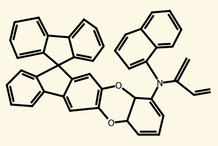 C=CC(=C)N(C1=CC=CC2Oc3cc4c(cc3OC12)C1(c2ccccc2-c2ccccc21)c1ccccc1-4)c1cccc2ccccc12